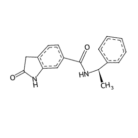 C[C@@H](NC(=O)c1ccc2c(c1)NC(=O)C2)c1ccccc1